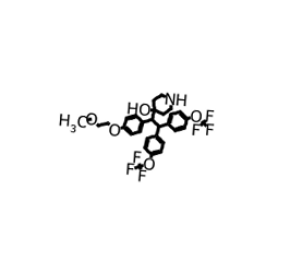 COCCOc1ccc(C(C(c2ccc(OC(F)(F)F)cc2)c2ccc(OC(F)(F)F)cc2)C2(O)CCNCC2)cc1